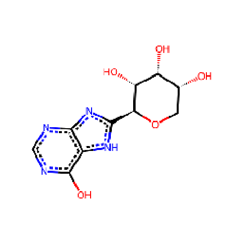 Oc1ncnc2nc([C@@H]3OC[C@@H](O)[C@@H](O)[C@H]3O)[nH]c12